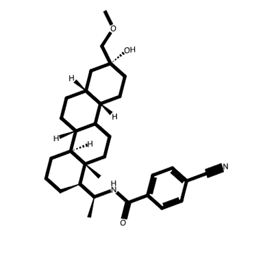 COC[C@@]1(O)CC[C@@H]2C3CC[C@]4(C)[C@@H]([C@H](C)NC(=O)c5ccc(C#N)cc5)CCC[C@H]4[C@@H]3CC[C@@H]2C1